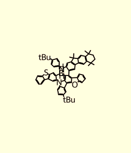 CC(C)(C)c1ccc(Nc2cc3c(cc2-c2c4c5c(c6cc(C(C)(C)C)ccc6n5-c5cc6c(cc5B4)sc4ccccc46)c4oc5ccccc5c24)-c2cc4c(cc2C3(C)C)C(C)(C)CCC4(C)C)cc1